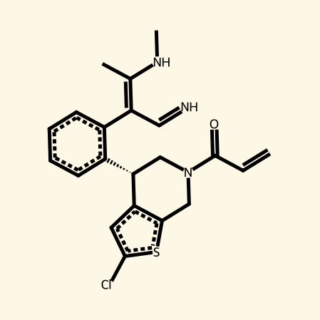 C=CC(=O)N1Cc2sc(Cl)cc2[C@H](c2ccccc2/C(C=N)=C(\C)NC)C1